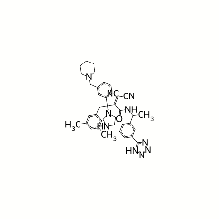 Cc1cc(C)cc(CC(C(C(=O)NC(C)c2cccc(-c3nnn[nH]3)c2)=C(C#N)C#N)(c2cccc(CN3CCCCC3)c2)N2CCNC2)c1